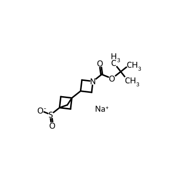 CC(C)(C)OC(=O)N1CC(C23CC(S(=O)[O-])(C2)C3)C1.[Na+]